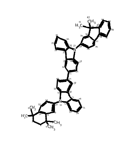 CC1(C)CCC(C)(C)c2cc(-n3c4ccccc4c4cc(-c5ccc6c(c5)c5ccccc5n6-c5ccc6c(c5)C(C)(C)c5ccccc5-6)ccc43)ccc21